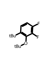 CC(C)(C)Oc1c(C(C)(C)C)ccc(F)c1F